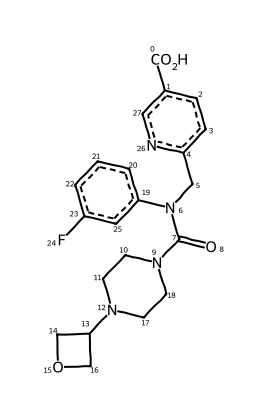 O=C(O)c1ccc(CN(C(=O)N2CCN(C3COC3)CC2)c2cccc(F)c2)nc1